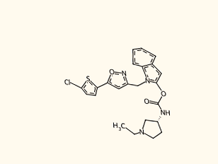 CCN1CC[C@@H](NC(=O)Oc2cc3ccccc3n2Cc2cc(-c3ccc(Cl)s3)on2)C1